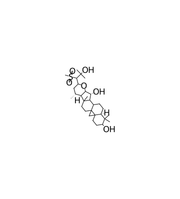 C[C@@H]1CC(C(C(C)(C)O)S(C)(=O)=O)OC2[C@H](O)C3C4CC[C@H]5C(C)(C)C(O)CCC56CC46CCC3(C)[C@H]21